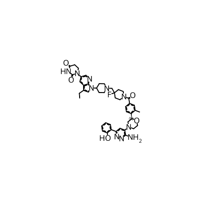 CCc1cn(C2CCN(CC3(F)CCN(C(=O)c4ccc([C@@H]5CN(c6cc(-c7ccccc7O)nnc6N)CCO5)c(C)c4)CC3)CC2)c2ncc(N3CCC(=O)NC3=O)cc12